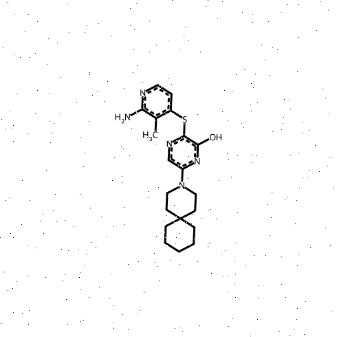 Cc1c(Sc2ncc(N3CCC4(CCCCC4)CC3)nc2O)ccnc1N